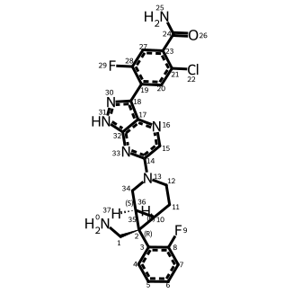 NC[C@]1(c2ccccc2F)[C@@H]2CCN(c3cnc4c(-c5cc(Cl)c(C(N)=O)cc5F)n[nH]c4n3)C[C@@H]21